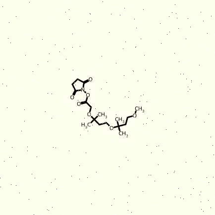 COCCC(C)(C)OCCC(C)(C)OCC(=O)ON1C(=O)CCC1=O